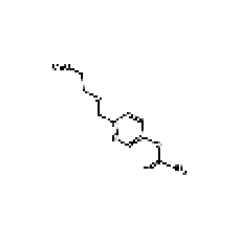 COCCOCc1ccc(OC(N)=O)cn1